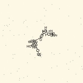 CCCS(=O)(=O)Nc1ccc(F)c(-c2c[nH]c3ncc(N4CCN(C(=O)CCCC(=O)N[C@H](C(=O)N5C[C@H](O)C[C@H]5C(=O)NCc5ccc(-c6scnc6C)cc5)C(C)(C)C)CC4)cc23)c1F